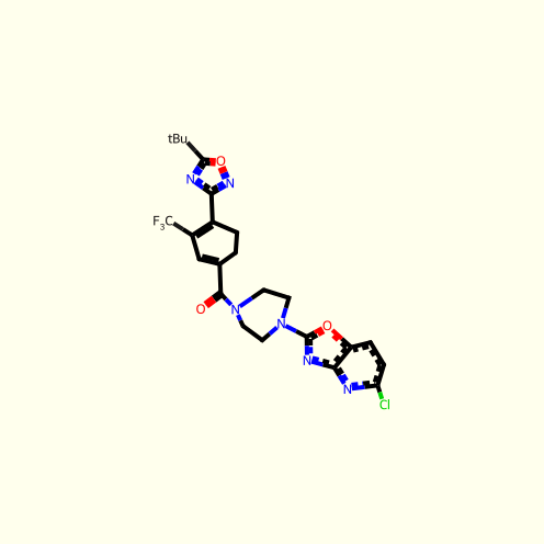 CC(C)(C)c1nc(C2=C(C(F)(F)F)C=C(C(=O)N3CCN(c4nc5nc(Cl)ccc5o4)CC3)CC2)no1